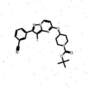 CC(C)(C)OC(=O)N1CCC(Oc2ccn3nc(-c4cccc(C#N)c4)c(I)c3n2)CC1